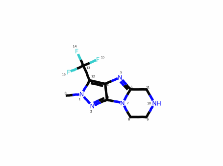 Cn1nc2c(nc3n2CCNC3)c1C(F)(F)F